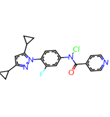 O=C(c1ccncc1)N(Cl)c1ccc(-n2nc(C3CC3)cc2C2CC2)c(F)c1